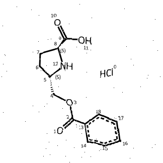 Cl.O=C(OC[C@@H]1CC[C@@H](C(=O)O)N1)c1ccccc1